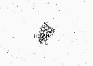 CCOc1ccc(CC(=O)O)cc1-c1ccc(F)c2c1CN(C(=O)CC(C)c1nccs1)CC2